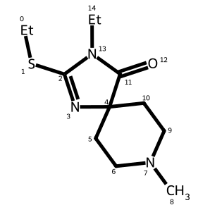 CCSC1=NC2(CCN(C)CC2)C(=O)N1CC